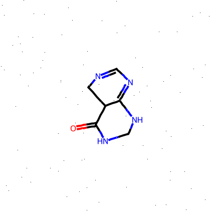 O=C1NCNC2=NC=NCC12